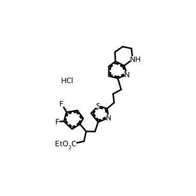 CCOC(=O)CC(Cc1csc(CCCc2ccc3c(n2)NCCC3)n1)c1ccc(F)c(F)c1.Cl